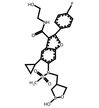 CS(=O)(=O)N(CC1COB(O)C1)c1cc2oc(-c3ccc(F)cc3)c(C(=O)NCCO)c2cc1C1CC1